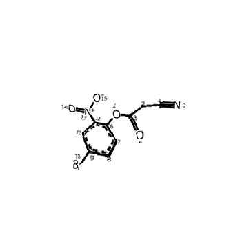 N#CCC(=O)Oc1ccc(Br)cc1[N+](=O)[O-]